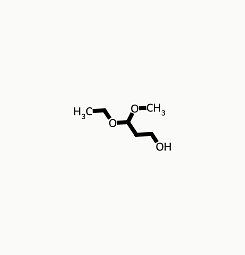 CCOC(CCO)OC